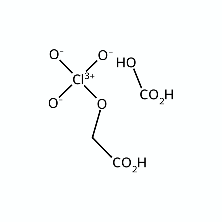 O=C(O)CO[Cl+3]([O-])([O-])[O-].O=C(O)O